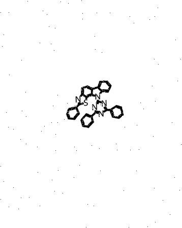 c1ccc(-c2nc(-c3ccccc3)nc(-n3c4ccccc4c4ccc5nc(-c6ccccc6)sc5c43)n2)cc1